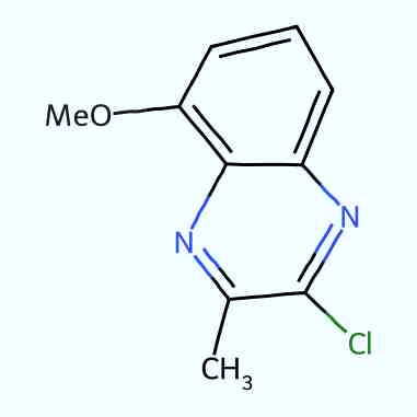 COc1cccc2nc(Cl)c(C)nc12